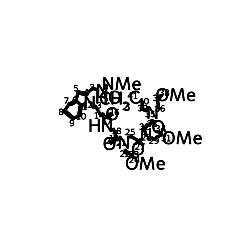 CNN(C)Cc1cc2ccccc2n1CCC(=O)NCC(=O)N(CCOC)CC(=O)N(CCOC)CC(=O)N(CCOC)CCC(=O)O